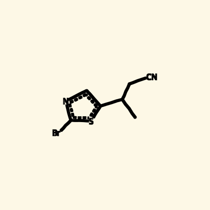 CC(CC#N)c1cnc(Br)s1